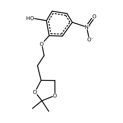 CC1(C)OCC(CCOc2cc([N+](=O)[O-])ccc2O)O1